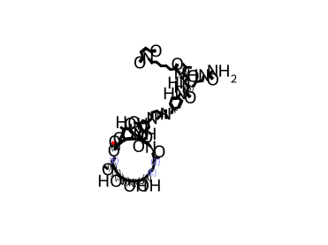 CO[C@H]1/C=C/O[C@@]2(C)Oc3c(C)c(O)c4c(=O)c(c5oc6cc(N7CC[C@@H]([N+](C)(C)Cc8ccc(NC(=O)[C@H](CCCNC(N)=O)NC(=O)[C@@H](NC(=O)CCCCCN9C(=O)C=CC9=O)C(C)C)cc8)C7)cc(O)c6nc-5c4c3C2=O)NC(=O)/C(C)=C\C=C\[C@H](C)[C@H](O)[C@@H](C)[C@@H](O)[C@@H](C)[C@H](O)[C@@H]1C